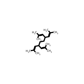 CC(C)=CC(C=C(C)C)CCC(C=C(C)C)C=C(C)C